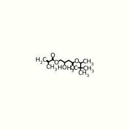 C=C(C)C(=O)OCC(O)CC(=O)OC(C)C(C)(C)C